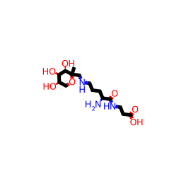 CC1(CNCCC[C@H](N)C(=O)NCCC(=O)O)OC[C@@H](O)[C@@H](O)[C@@H]1O